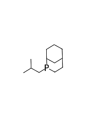 CC(C)CP1CCC2CCCC1C2